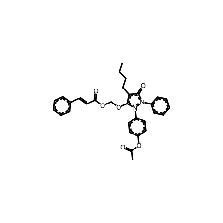 CCCCc1c(OCOC(=O)C=Cc2ccccc2)n(-c2ccc(OC(C)=O)cc2)n(-c2ccccc2)c1=O